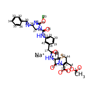 CC(=O)OCC1=C(C(=O)[O-])N2C(=O)C(NC(=O)Cc3cccc(NC(=O)N4CC(N=Cc5ccccc5)N=C4OF)c3)[C@@H]2SC1.[Na+]